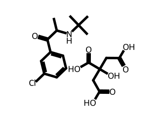 CC(NC(C)(C)C)C(=O)c1cccc(Cl)c1.O=C(O)CC(O)(CC(=O)O)C(=O)O